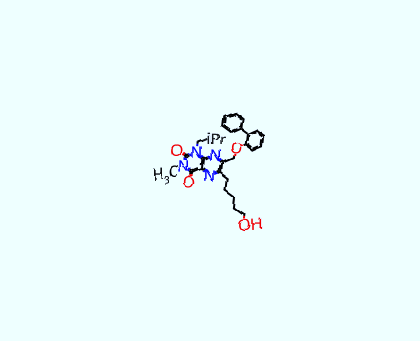 CC(C)Cn1c(=O)n(C)c(=O)c2nc(CCCCCO)c(COc3ccccc3-c3ccccc3)nc21